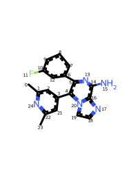 Cc1cc(-c2c(-c3cccc(F)c3)nc(N)c3nccn23)cc(C)n1